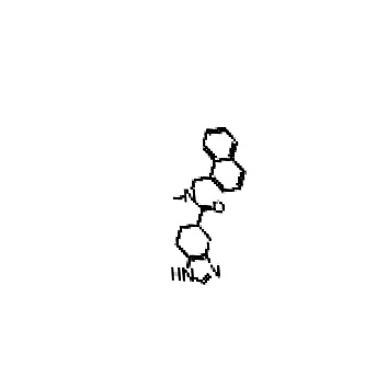 CN(Cc1cccc2ccccc12)C(=O)C1CCc2[nH]cnc2C1